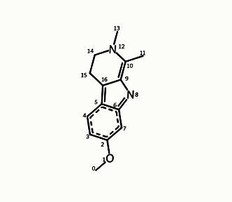 COc1ccc2c(c1)=NC1=C(C)N(C)CCC=21